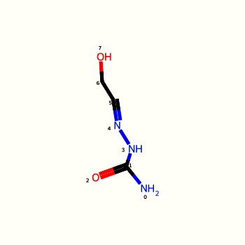 NC(=O)NN=CCO